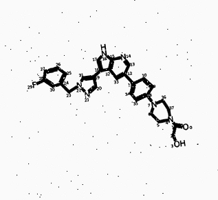 O=C(CO)N1CCN(c2ccc(-c3cnc4[nH]cc(-c5cnn(Cc6cccc(F)c6)c5)c4c3)cc2)CC1